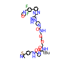 Cc1ncsc1-c1ccc(CNC(=O)C2CCCN2C(=O)[C@@H](NC(=O)CCOCCOCCNC(=O)CN2CCC(N/C=C(\C=N)c3cnc4cccc(-c5cc(F)c(CN6CCOCC6)c(F)c5)c4n3)CC2)C(C)(C)C)cc1